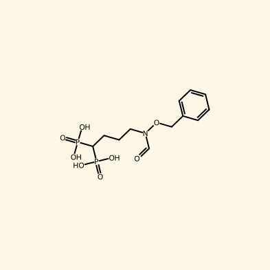 O=CN(CCCC(P(=O)(O)O)P(=O)(O)O)OCc1ccccc1